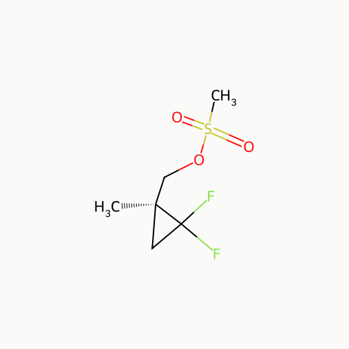 C[C@@]1(COS(C)(=O)=O)CC1(F)F